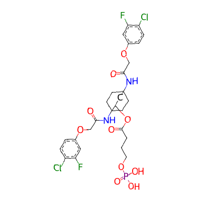 O=C(COc1ccc(Cl)c(F)c1)NC12CCC(NC(=O)COc3ccc(Cl)c(F)c3)(CC1)C(OC(=O)CCCOP(=O)(O)O)C2